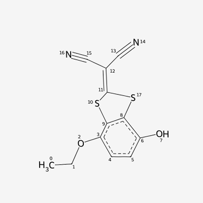 CCOc1ccc(O)c2c1SC(=C(C#N)C#N)S2